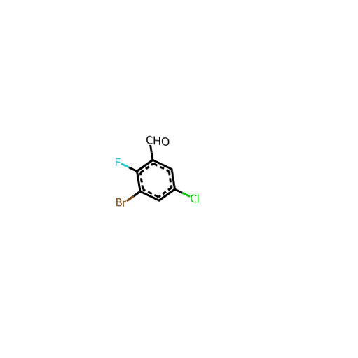 O=Cc1cc(Cl)cc(Br)c1F